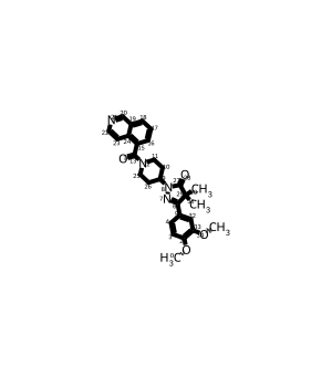 COc1ccc(C2=NN(C3CCN(C(=O)c4cccc5cnccc45)CC3)C(=O)C2(C)C)cc1OC